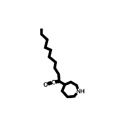 CCCCCCCCCC(=C=O)C1CCCNCC1